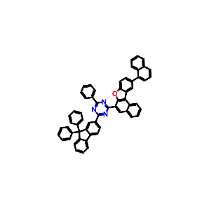 c1ccc(-c2nc(-c3ccc4c(c3)C(c3ccccc3)(c3ccccc3)c3ccccc3-4)nc(-c3cc4ccccc4c4c3oc3ccc(-c5cccc6ccccc56)cc34)n2)cc1